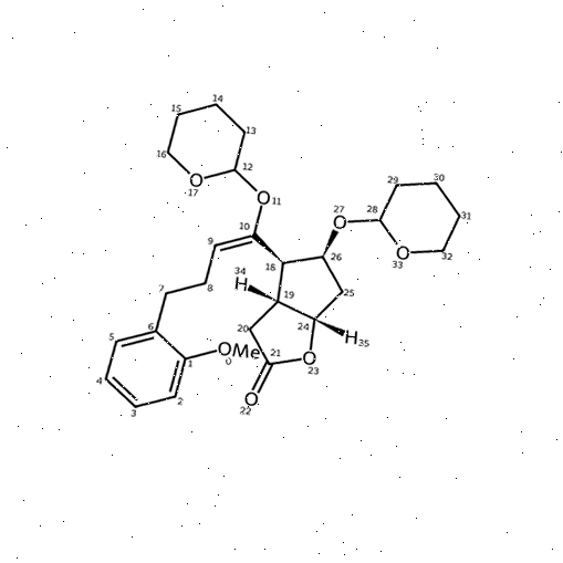 COc1ccccc1CC/C=C(/OC1CCCCO1)[C@@H]1[C@H]2CC(=O)O[C@H]2C[C@@H]1OC1CCCCO1